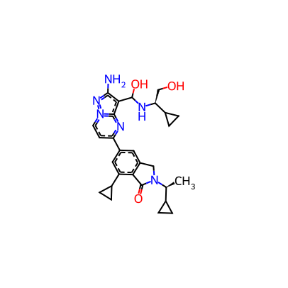 C[C@@H](C1CC1)N1Cc2cc(-c3ccn4nc(N)c(C(O)N[C@@H](CO)C5CC5)c4n3)cc(C3CC3)c2C1=O